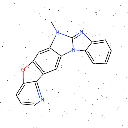 Cn1c2cc3oc4cccnc4c3cc2n2c3ccccc3nc12